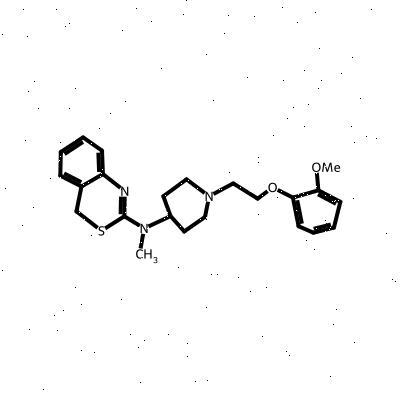 COc1ccccc1OCCN1CCC(N(C)C2=Nc3ccccc3CS2)CC1